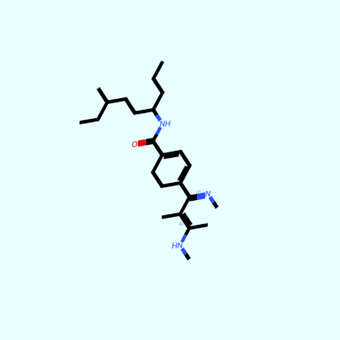 CCCC(CCC(C)CC)NC(=O)C1=CC=C(C(=N/C)/C(C)=C(\C)NC)CC1